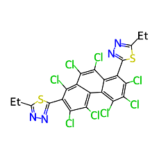 CCc1nnc(-c2c(Cl)c(Cl)c3c(c2Cl)c(Cl)c(Cl)c2c(-c4nnc(CC)s4)c(Cl)c(Cl)c(Cl)c23)s1